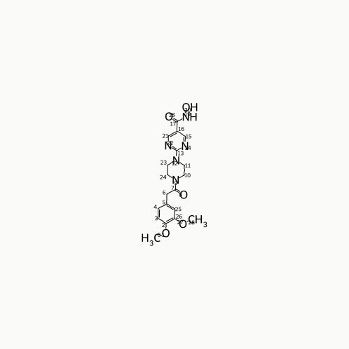 COc1ccc(CC(=O)N2CCN(c3ncc(C(=O)NO)cn3)CC2)cc1OC